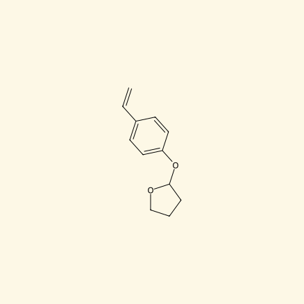 C=Cc1ccc(OC2CCCO2)cc1